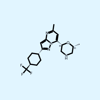 Cc1cc([C@H]2CNC[C@@H](C)O2)n2nc([C@H]3CC[C@H](C(F)(F)F)CC3)cc2n1